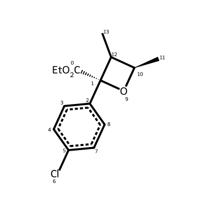 CCOC(=O)[C@@]1(c2ccc(Cl)cc2)O[C@H](C)C1C